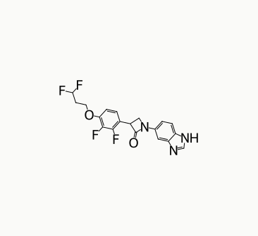 O=C1C(c2ccc(OCCC(F)F)c(F)c2F)CN1c1ccc2[nH]cnc2c1